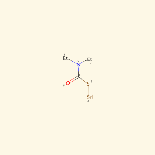 CCN(CC)C(=O)SS